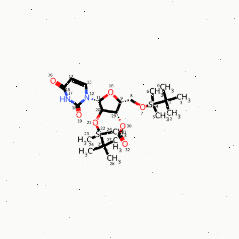 CC(C)(C)[Si](C)(C)OC[C@H]1O[C@@H](n2ccc(=O)[nH]c2=O)C(O[Si](C)(C)C(C)(C)C)[C@H]1OC=O